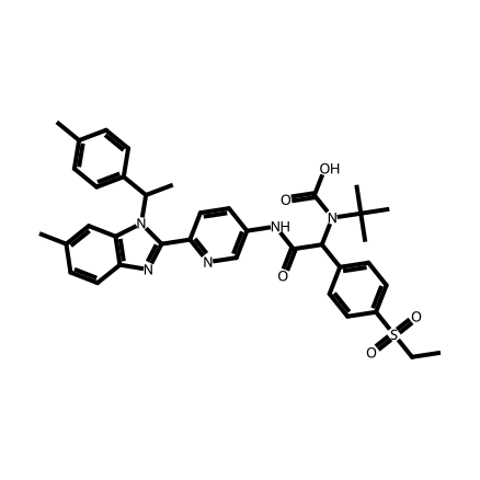 CCS(=O)(=O)c1ccc(C(C(=O)Nc2ccc(-c3nc4ccc(C)cc4n3C(C)c3ccc(C)cc3)nc2)N(C(=O)O)C(C)(C)C)cc1